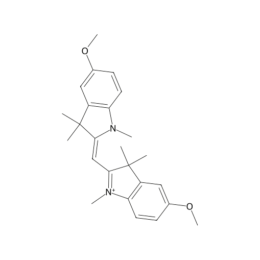 COc1ccc2c(c1)C(C)(C)C(=CC1=[N+](C)c3ccc(OC)cc3C1(C)C)N2C